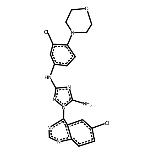 Nc1nc(Nc2ccc(N3CCOCC3)c(Cl)c2)nn1-c1ncnc2ccc(Cl)cc12